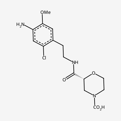 COc1cc(CCNC(=O)[C@H]2CN(C(=O)O)CCO2)c(Cl)cc1N